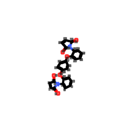 O=C1C=CC(=O)N1c1ccccc1Oc1ccc(Oc2ccccc2N2C(=O)C=CC2=O)cc1